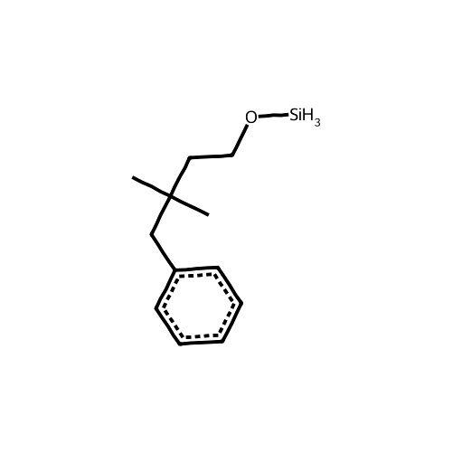 CC(C)(CCO[SiH3])Cc1ccccc1